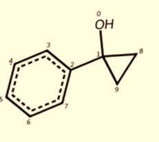 OC1(c2c[c]ccc2)CC1